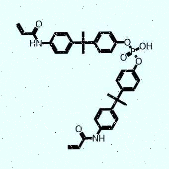 C=CC(=O)Nc1ccc(C(C)(C)c2ccc(OP(=O)(O)Oc3ccc(C(C)(C)c4ccc(NC(=O)C=C)cc4)cc3)cc2)cc1